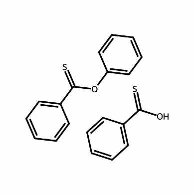 OC(=S)c1ccccc1.S=C(Oc1ccccc1)c1ccccc1